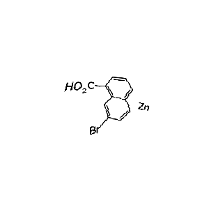 O=C(O)c1cccc2ccc(Br)cc12.[Zn]